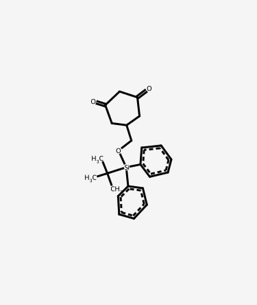 CC(C)(C)[Si](OCC1CC(=O)CC(=O)C1)(c1ccccc1)c1ccccc1